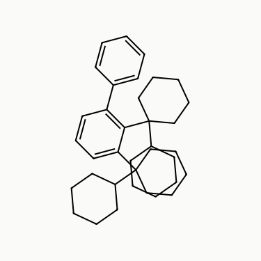 c1ccc(-c2cccc(C3(C4CCCCC4)CCCCC3)c2C2(C3CCCCC3)CCCCC2)cc1